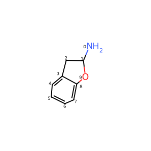 NC1Cc2ccccc2O1